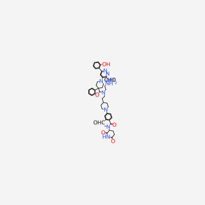 CN(C(=O)c1ccc(N2CCC(CCN(CCNC=O)C(=O)C3(c4ccccc4)CCN(c4cc(-c5ccccc5O)nnc4N)CC3)CC2)cc1C=O)C1CCC(=O)NC1=O